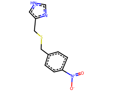 O=[N+]([O-])c1ccc(CSCc2c[nH]cn2)cc1